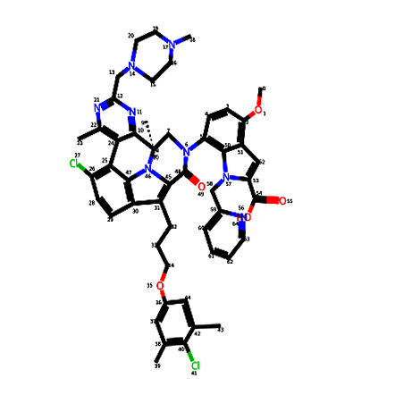 COc1ccc(N2C[C@]3(C)c4nc(CN5CCN(C)CC5)nc(C)c4-c4c(Cl)ccc5c(CCCOc6cc(C)c(Cl)c(C)c6)c(n3c45)C2=O)c2c1cc(C(=O)O)n2Cc1ccccn1